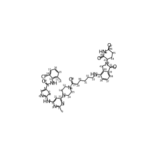 Cc1nc(Nc2ncc(C(=O)Nc3c(C)cccc3Cl)s2)cc(N2CCN(C(=O)CCCCCNc3cccc4c3CN(C3CCC(=O)NC3=O)C4=O)CC2)n1